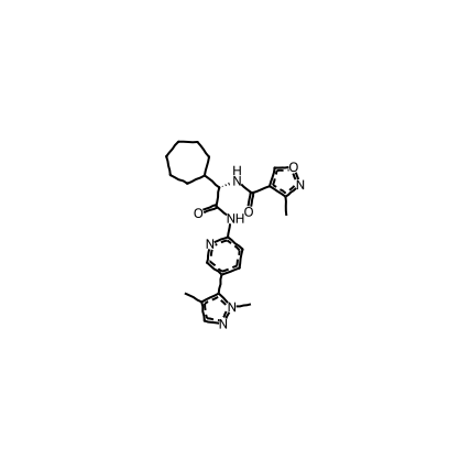 Cc1cnn(C)c1-c1ccc(NC(=O)[C@@H](NC(=O)c2conc2C)C2CCCCCC2)nc1